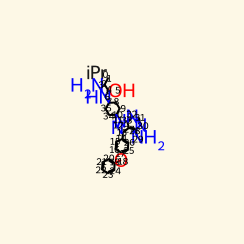 CC(C)C[C@@H](N)C(O)N[C@H]1CC[C@H](n2nc(-c3ccc(Oc4ccccc4)cc3)c3c(N)ncnc32)CC1